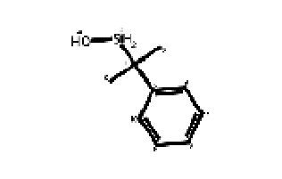 CC(C)([SiH2]O)c1ccccc1